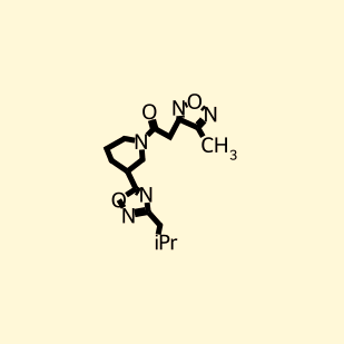 Cc1nonc1CC(=O)N1CCCC(c2nc(CC(C)C)no2)C1